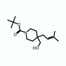 CC(C)=CCC1(CO)CCN(C(=O)OC(C)(C)C)CC1